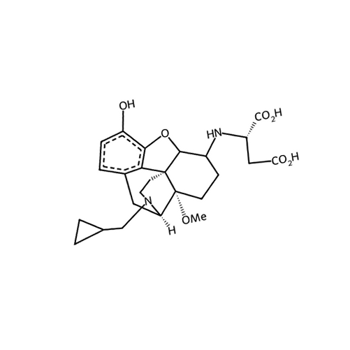 CO[C@@]12CCC(N[C@@H](CC(=O)O)C(=O)O)C3Oc4c(O)ccc5c4[C@@]31CCN(CC1CC1)[C@@H]2C5